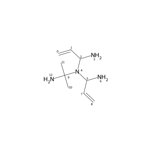 C=CC(N)N(C(N)C=C)C(C)(C)N